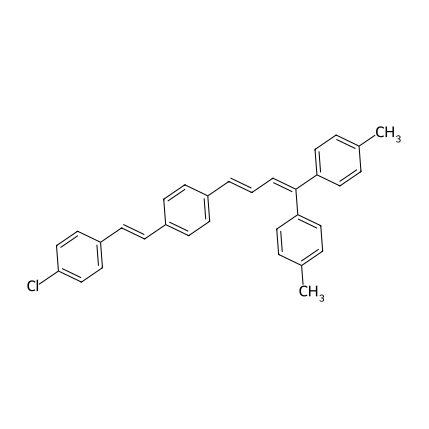 Cc1ccc(C(=CC=Cc2ccc(C=Cc3ccc(Cl)cc3)cc2)c2ccc(C)cc2)cc1